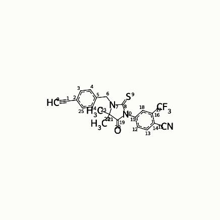 C#Cc1ccc(CN2C(=S)N(c3ccc(C#N)c(C(F)(F)F)c3)C(=O)C2(C)C)cc1